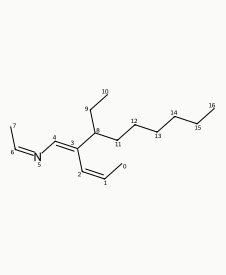 C\C=C/C(=C\N=C/C)C(CC)CCCCCC